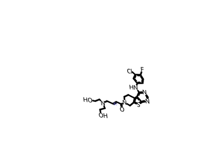 O=C(/C=C/CN(CCO)CCO)N1CCc2c(sc3ncnc(Nc4ccc(F)c(Cl)c4)c23)C1